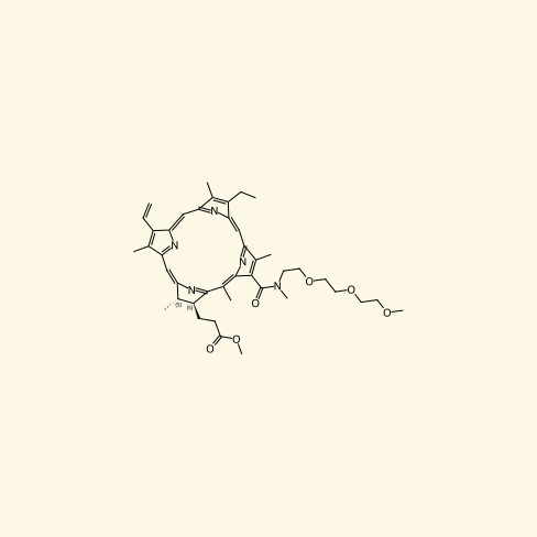 C=CC1=C(C)C2=NC1=CC1=NC(=CC3=NC(=C(C)C4=NC(=C2)[C@@H](C)[C@@H]4CCC(=O)OC)C(C(=O)N(C)CCOCCOCCOC)=C3C)C(CC)=C1C